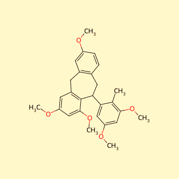 COc1ccc2c(c1)Cc1cc(OC)cc(OC)c1C(c1cc(OC)cc(OC)c1C)C2